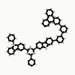 c1ccc(-c2nc(-c3ccc4c(c3)sc3cc(-c5cccc(-c6cccc(-c7ccc8c9ccccc9c9ccccc9c8c7)c6)c5)ccc34)nc(-c3ccc4c(c3)c3ccccc3n4-c3ccccc3)n2)cc1